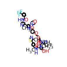 Cc1ncc(NC(=O)c2cccc(C(F)(F)F)c2)cc1-c1cnc(O[C@@H]2CCC[C@@H](OCCOCC(=O)NC(C(=O)N3C[C@H](O)C[C@H]3C(=O)NC(C)c3ccc(-c4scnc4C)cc3)C(C)(C)C)C2)c(N2CCOCC2)c1